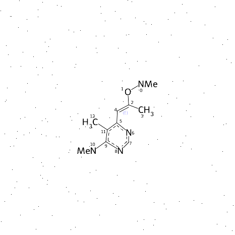 CNO/C(C)=C/c1ncnc(NC)c1C